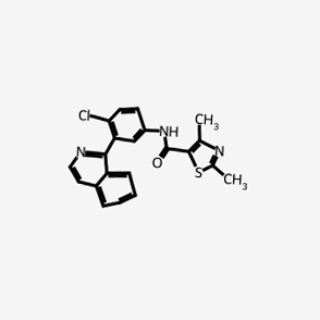 Cc1nc(C)c(C(=O)Nc2ccc(Cl)c(-c3nccc4ccccc34)c2)s1